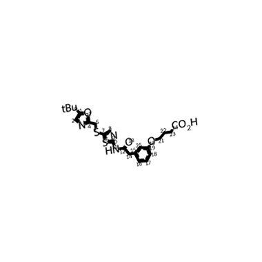 CC(C)(C)c1cnc(CSc2cnc(NC(=O)Cc3cccc(OCCCC(=O)O)c3)s2)o1